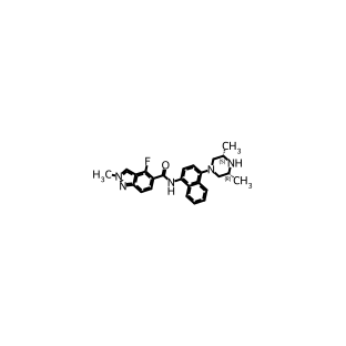 C[C@@H]1CN(c2ccc(NC(=O)c3ccc4nn(C)cc4c3F)c3ccccc23)C[C@H](C)N1